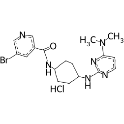 CN(C)c1ccnc(NC2CCC(NC(=O)c3cncc(Br)c3)CC2)n1.Cl